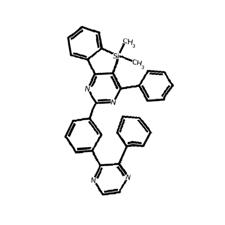 C[Si]1(C)c2ccccc2-c2nc(-c3cccc(-c4nccnc4-c4ccccc4)c3)nc(-c3ccccc3)c21